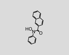 O=C(c1ccc2ccccc2c1)N(O)c1ccccc1